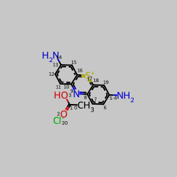 CC(=O)O.Nc1ccc2nc3ccc(N)cc3[s+]c2c1.[Cl-]